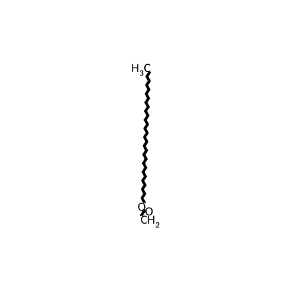 C=CC(=O)OCCCCCCCCCCCCCCCCCCCCCCCCCCCCCCCC